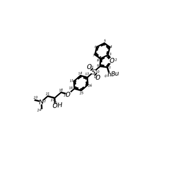 CCCCc1oc2ccccc2c1S(=O)(=O)c1ccc(OCC(O)CN(C)C)cc1